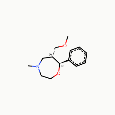 COC[C@H]1CN(C)CCO[C@@H]1c1ccccc1